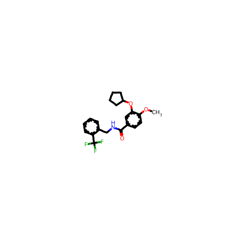 COc1ccc(C(=O)NCc2ccccc2C(F)(F)F)cc1OC1CCCC1